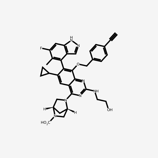 C#Cc1ccc(COc2c(-c3c(C)c(F)cc4[nH]ncc34)c(C3CC3)cc3c(N4C[C@@H]5C[C@H]4CN5C(=O)O)nc(NCCO)nc23)cc1